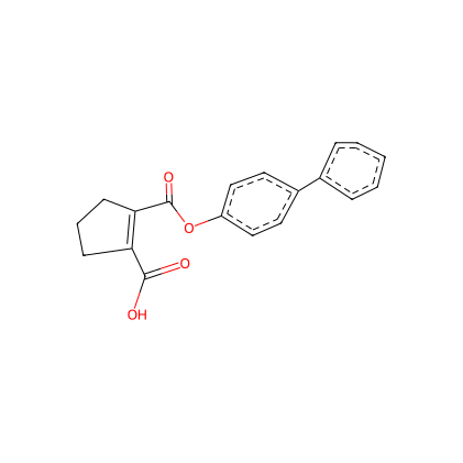 O=C(O)C1=C(C(=O)Oc2ccc(-c3ccccc3)cc2)CCC1